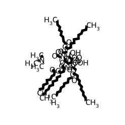 CCCCCCCCCCC[C@H](CC(=O)N[C@H]1[C@H](OC[C@@H](NC(=O)C[C@@H](CCCCCCCCCCC)OC(=O)CCCCCCCCC)C(=O)O)O[C@H](CO)[C@@H](OP(=O)(O)O)[C@@H]1OC(=O)C[C@@H](CCCCCCCCCCC)OC(=O)CCCCCCCCC)OC(=O)CCCCCCCCC.CCN(CC)CC